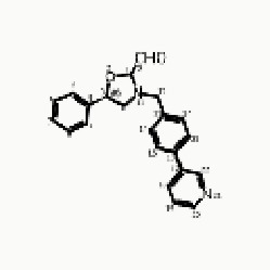 O=CC1O[C@H](c2ccccc2)CN1Cc1ccc(-c2cccnc2)cc1